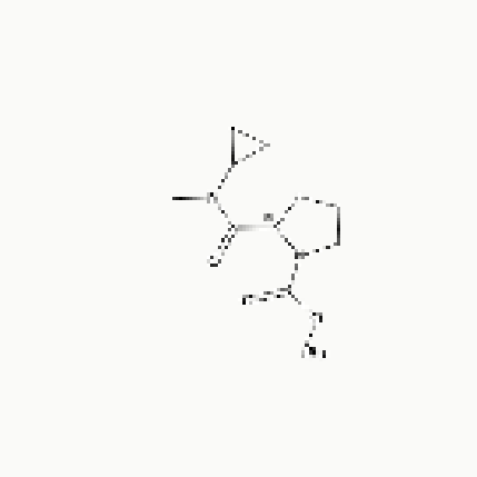 CN(C(=O)[C@@H]1CCCN1C(=O)OC(C)(C)C)C1CC1